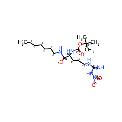 CCCCCCCNC(=O)C(CCCNC(=N)N[N+](=O)[O-])NC(=O)OC(C)(C)C